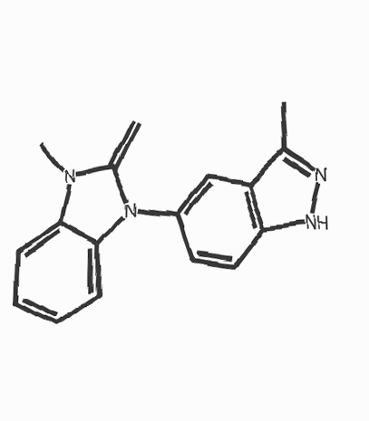 C=C1N(C)c2ccccc2N1c1ccc2[nH]nc(C)c2c1